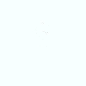 Cc1cc(-c2csc(N)n2)sc1C